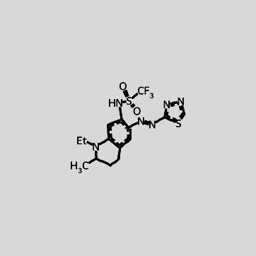 CCN1c2cc(NS(=O)(=O)C(F)(F)F)c(N=Nc3nncs3)cc2CCC1C